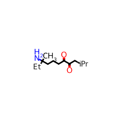 CCC(C)(N)CCCC(=O)C(=O)CC(C)C